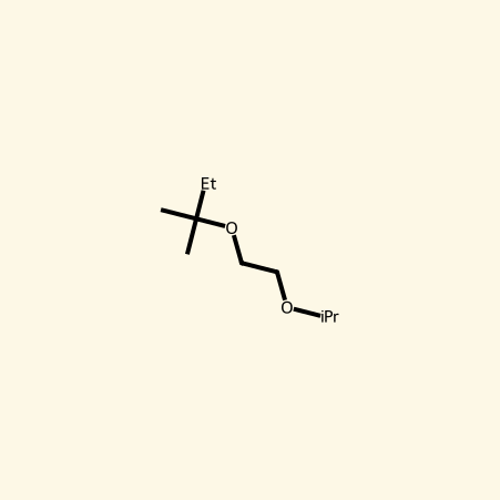 CCC(C)(C)OCCOC(C)C